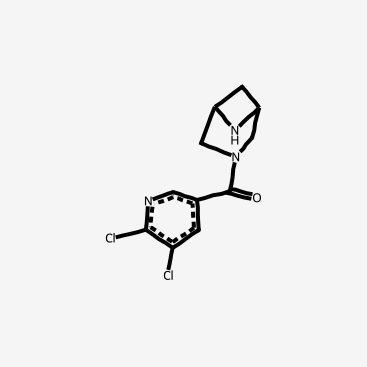 O=C(c1cnc(Cl)c(Cl)c1)N1CC2CC(C1)N2